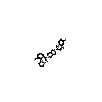 O=C(c1cccc(F)c1-n1nccn1)N1CC2CN(c3cnc4cc(F)c(F)cc4n3)CC2C1